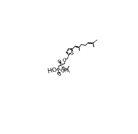 CC(C)=CCC/C(C)=C/c1ccc(COCP(=O)(CP(=O)(O)O)OC(C)C)s1